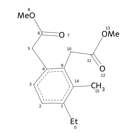 CCc1ccc(CC(=O)OC)c(CC(=O)OC)c1C